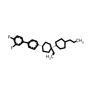 C=C[C@]1(C2CCC(CCC)CC2)CC[C@@H](c2ccc(-c3ccc(F)c(F)c3)cc2)CC1